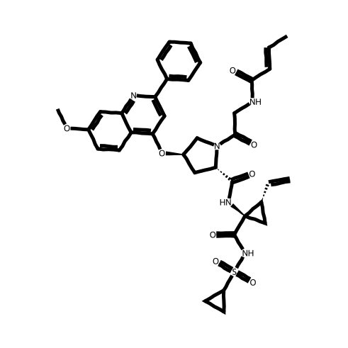 C=C[C@@H]1C[C@]1(NC(=O)[C@@H]1C[C@@H](Oc2cc(-c3ccccc3)nc3cc(OC)ccc23)CN1C(=O)CNC(=O)/C=C/C)C(=O)NS(=O)(=O)C1CC1